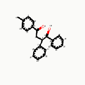 Cc1ccc(C(=O)CC(C(=O)c2ccccc2)c2ccccc2)cc1